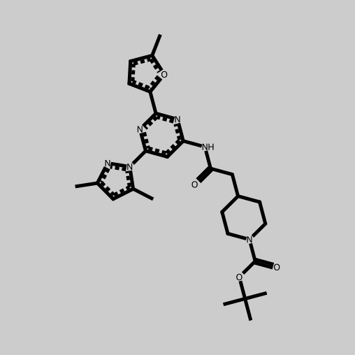 Cc1cc(C)n(-c2cc(NC(=O)CC3CCN(C(=O)OC(C)(C)C)CC3)nc(-c3ccc(C)o3)n2)n1